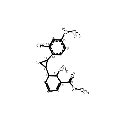 COC(=O)C1=CC=CC(C2CC2c2ccc(OC)cc2Cl)C1C